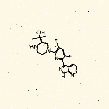 CC(C)(O)C1CN(c2nc(-c3n[nH]c4ncccc34)c(F)cc2F)CCN1